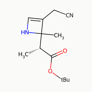 C[C@@H](C(=O)OC(C)(C)C)C1(C)NC=C1CC#N